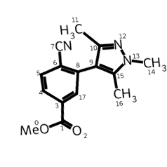 COC(=O)c1ccc(C#N)c(-c2c(C)nn(C)c2C)c1